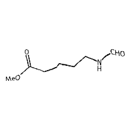 COC(=O)CCCCNC=O